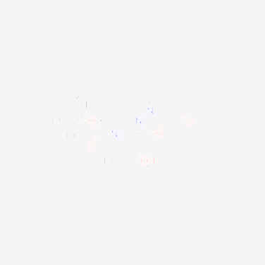 COCc1nnc(C(O)C(C)NC(=O)OC(C)(C)C)o1